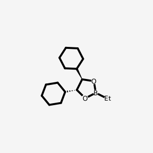 CCB1O[C@H](C2CCCCC2)[C@@H](C2CCCCC2)O1